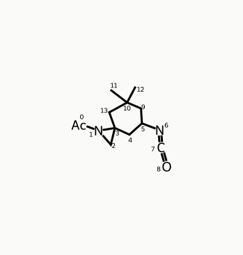 CC(=O)N1CC12CC(N=C=O)CC(C)(C)C2